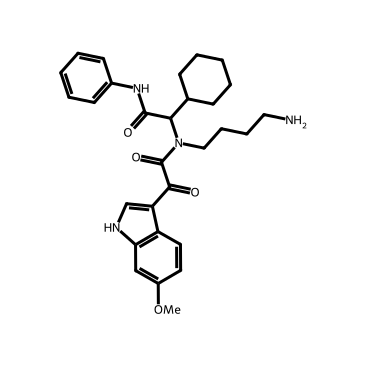 COc1ccc2c(C(=O)C(=O)N(CCCCN)C(C(=O)Nc3ccccc3)C3CCCCC3)c[nH]c2c1